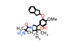 COc1ccc(C2CN(C(=O)C(C)(C)N)CC2(C)[C@@H](C)O)cc1OC1Cc2ccccc2C1